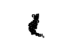 CCOCCS(=O)(=O)c1ccc(CC2CCN(CCCN(C(=O)C3CCN(S(C)(=O)=O)CC3)c3ccc(Cl)c(Cl)c3)CC2)cc1